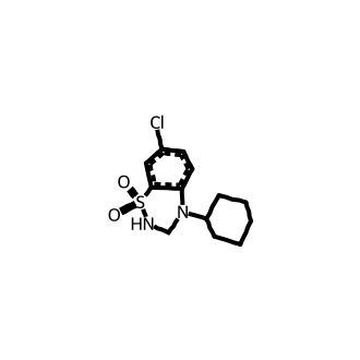 O=S1(=O)NCN(C2CCCCC2)c2ccc(Cl)cc21